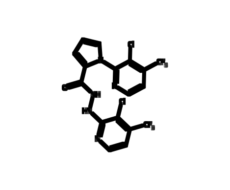 O=C(NNc1nccc(C(F)(F)F)c1Cl)c1cccn1-c1nccc(C(F)(F)F)c1Cl